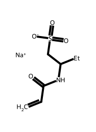 C=CC(=O)NC(CC)CS(=O)(=O)[O-].[Na+]